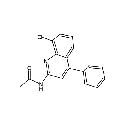 CC(=O)Nc1cc(-c2ccccc2)c2cccc(Cl)c2n1